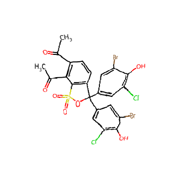 CC(=O)c1ccc2c(c1C(C)=O)S(=O)(=O)OC2(c1cc(Cl)c(O)c(Br)c1)c1cc(Cl)c(O)c(Br)c1